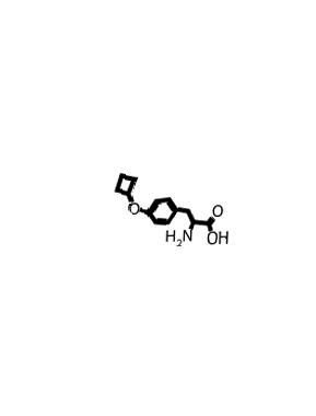 NC(Cc1ccc(OC2CCC2)cc1)C(=O)O